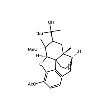 CO[C@]1(C)[C@@H](C(C)(O)C(C)(C)C)C[C@]2(C)[C@H]3Cc4ccc(OC(C)=O)c5c4C2(CCN3)[C@H]1O5